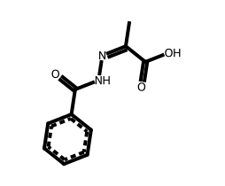 C/C(=N/NC(=O)c1ccccc1)C(=O)O